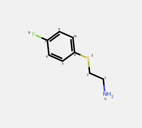 NCCSc1ccc(F)cc1